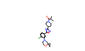 CC(C)C(=O)N1CCC(c2noc(-c3ccc(F)c(N4CCOC5(CC5)C4)c3)n2)CC1